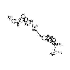 CC(C)CCCC(C)[C@H]1CC[C@H]2[C@@H]3CC=C4C[C@@H](OCCCNC(=O)CCC(=O)NC(Cc5ccccc5)C(=O)NCC(=O)Nc5ccc(CO)cc5)CC[C@]4(C)[C@H]3CC[C@]12C